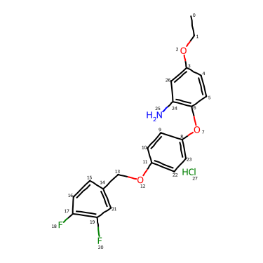 CCOc1ccc(Oc2ccc(OCc3ccc(F)c(F)c3)cc2)c(N)c1.Cl